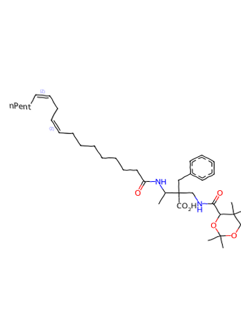 CCCCC/C=C\C/C=C\CCCCCCCC(=O)NC(C)C(CNC(=O)C1OC(C)(C)OCC1(C)C)(Cc1ccccc1)C(=O)O